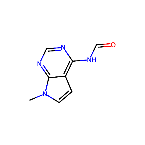 Cn1ccc2c(NC=O)ncnc21